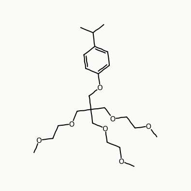 COCCOCC(COCCOC)(COCCOC)COc1ccc(C(C)C)cc1